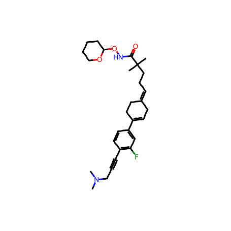 CN(C)CC#Cc1ccc(C2=CC/C(=C/CCC(C)(C)C(=O)NOC3CCCCO3)CC2)cc1F